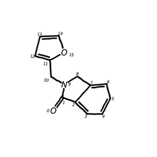 O=C1c2ccccc2CN1Cc1ccco1